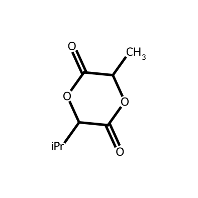 CC1OC(=O)C(C(C)C)OC1=O